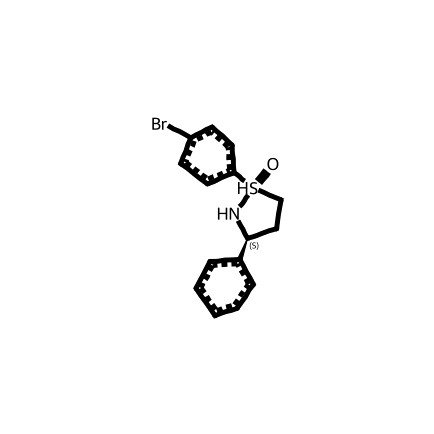 O=[SH]1(c2ccc(Br)cc2)CC[C@@H](c2ccccc2)N1